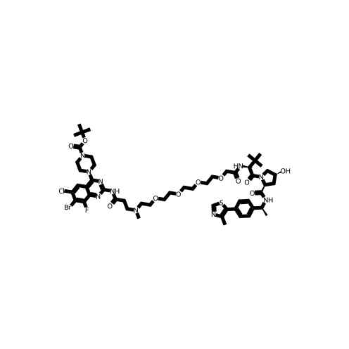 Cc1ncsc1-c1ccc([C@H](C)NC(=O)[C@@H]2C[C@@H](O)CN2C(=O)[C@@H](NC(=O)COCCOCCOCCOCCN(C)CCC(=O)Nc2nc(N3CCN(C(=O)OC(C)(C)C)CC3)c3cc(Cl)c(Br)c(F)c3n2)C(C)(C)C)cc1